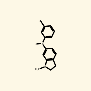 CB1CCc2ccc([S+]([O-])c3cccc(Cl)c3)cc21